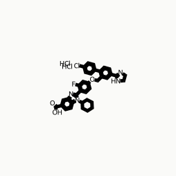 Cl.Cl.O=C(O)c1ccc2c(c1)nc(-c1ccc(OCc3cc(C4=NCCN4)ccc3-c3ccc(Cl)cc3)cc1F)n2C1CCCCC1